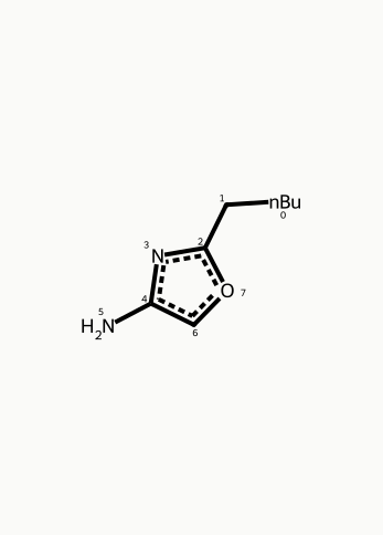 CCCCCc1nc(N)co1